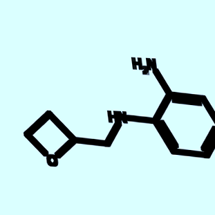 Nc1ccccc1NCC1CCO1